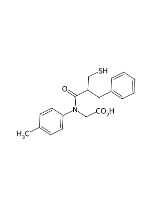 Cc1ccc(N(CC(=O)O)C(=O)C(CS)Cc2ccccc2)cc1